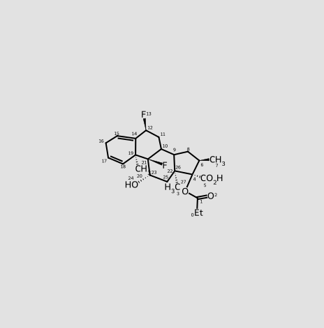 CCC(=O)O[C@]1(C(=O)O)[C@H](C)CC2C3C[C@H](F)C4=CCC=C[C@]4(C)[C@@]3(F)[C@@H](O)C[C@@]21C